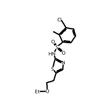 CCOCCc1cnc(NS(=O)(=O)c2cccc(Cl)c2C)s1